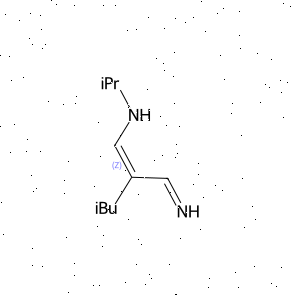 CCC(C)/C(C=N)=C/NC(C)C